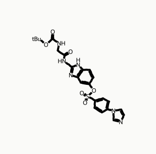 CC(C)(C)OC(=O)NCC(=O)Nc1nc2cc(OS(=O)(=O)c3ccc(-n4ccnc4)cc3)ccc2[nH]1